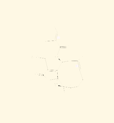 C/C=C(\C)C(=O)O[C@H]1C/C(C)=C/CC[C@@]2(C)O[C@@H]2[C@H]2OC(=O)C(COC(C)=O)=C12